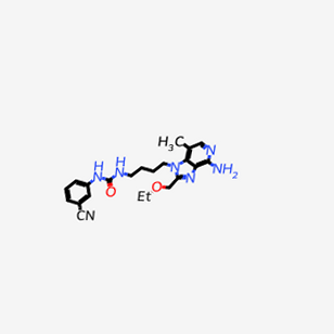 CCOCc1nc2c(N)ncc(C)c2n1CCCCNC(=O)Nc1cccc(C#N)c1